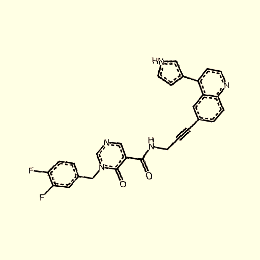 O=C(NCC#Cc1ccc2nccc(-c3cc[nH]c3)c2c1)c1cncn(Cc2ccc(F)c(F)c2)c1=O